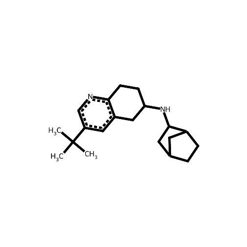 CC(C)(C)c1cnc2c(c1)CC(NC1CC3CCC1C3)CC2